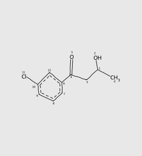 CC(O)CC(=O)c1cccc(Cl)c1